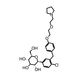 OC[C@H]1O[C@@H](c2ccc(Cl)c(Cc3ccc(OCCOCCN4CCCC4)cc3)c2)[C@H](O)[C@@H](O)[C@@H]1O